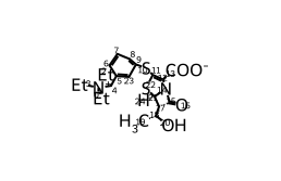 CC[N+](CC)(CC)Cc1cccc(SC2=C(C(=O)[O-])N3C(=O)[C@H]([C@@H](C)O)[C@H]3S2)c1